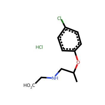 CC(CNCC(=O)O)Oc1ccc(Cl)cc1.Cl